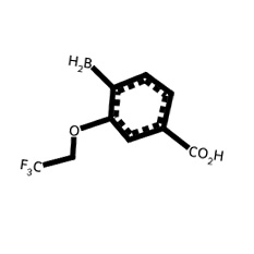 Bc1ccc(C(=O)O)cc1OCC(F)(F)F